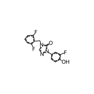 O=c1n(Cc2c(F)cccc2F)cnn1-c1ccc(O)c(F)c1